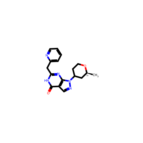 C[C@H]1CC(n2ncc3c(=O)[nH]c(Cc4ccccn4)nc32)CCO1